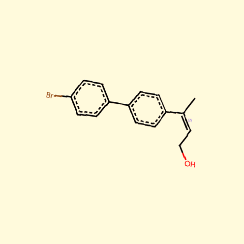 C/C(=C/CO)c1ccc(-c2ccc(Br)cc2)cc1